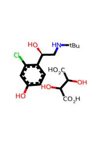 CC(C)(C)NC[C@H](O)c1ccc(O)cc1Cl.O=C(O)C(O)C(O)C(=O)O